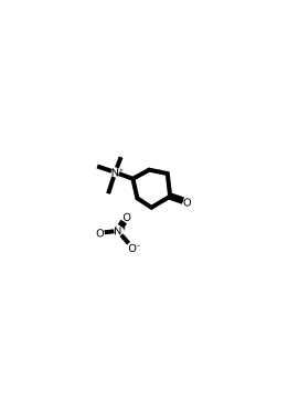 C[N+](C)(C)C1CCC(=O)CC1.O=[N+]([O-])[O-]